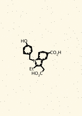 CCc1c(CC(=O)O)c2cc(C(=O)O)ccc2n1Cc1ccc(O)cc1